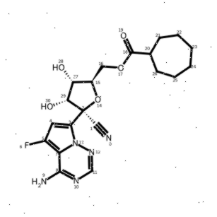 N#C[C@@]1(c2cc(F)c3c(N)ncnn23)O[C@H](COC(=O)C2CCCCCC2)[C@@H](O)[C@H]1O